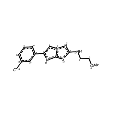 COCCNc1nn2cc(-c3cccc(Cl)c3)nc2s1